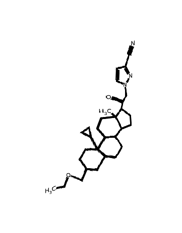 CCOCC1CCC2(C3CC3)C(CCC3C4CCC(C(=O)Cn5ccc(C#N)n5)C4(C)CCC32)C1